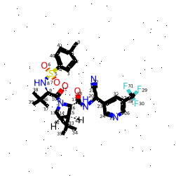 Cc1ccc(S(=O)(=O)N[C@H](C(=O)N2C[C@H]3[C@@H]([C@H]2C(=O)NC(C#N)c2cncc(C(F)(F)F)c2)C3(C)C)C(C)(C)C)cc1